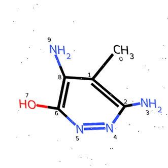 Cc1c(N)nnc(O)c1N